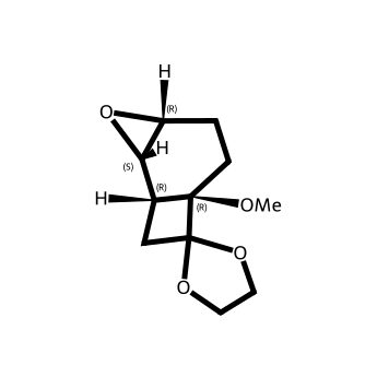 CO[C@]12CC[C@H]3O[C@H]3[C@H]1CC21OCCO1